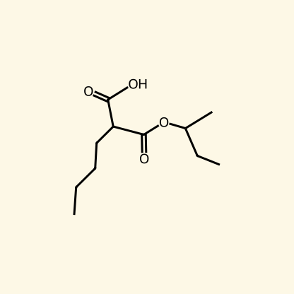 CCCCC(C(=O)O)C(=O)OC(C)CC